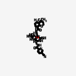 CC1(C)CCOc2c(C(=O)NC3CN4C(=N)N[C@@H](CNC(=O)c5ccc(C#N)cn5)[C@@H]5NC(=N)NC54[C@@H]3O)cccc21